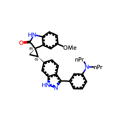 CCCN(CCC)c1cccc(-c2n[nH]c3cc([C@@H]4C[C@@]45C(=O)Nc4ccc(OC)cc45)ccc23)c1